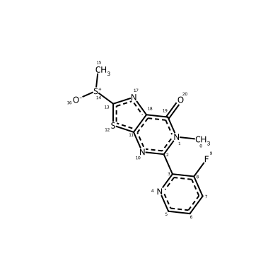 Cn1c(-c2ncccc2F)nc2sc([S+](C)[O-])nc2c1=O